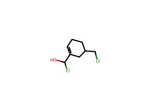 OC(Cl)C1=CCCC(CCl)C1